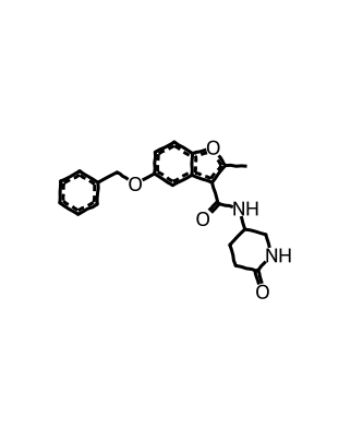 Cc1oc2ccc(OCc3ccccc3)cc2c1C(=O)NC1CCC(=O)NC1